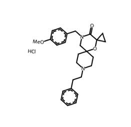 COc1ccc(CN2CC3(CCN(CCc4ccccc4)CC3)OC3(CC3)C2=O)cc1.Cl